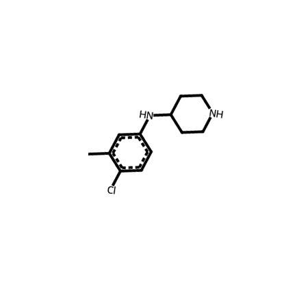 Cc1cc(NC2CCNCC2)ccc1Cl